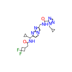 O=C(CC1CC(F)(F)C1)NC(c1ccn2cc(CNC(=O)c3ncnn3CC3CC3)nc2n1)C1CC1